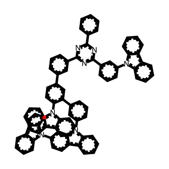 c1ccc(-c2nc(-c3cccc(-c4ccc(-n5c6ccccc6c6ccccc65)c(-c5cccc(-n6c7ccccc7c7ccc(-n8c9ccccc9c9ccccc98)cc76)c5)c4)c3)nc(-c3cccc(-n4c5ccccc5c5ccccc54)c3)n2)cc1